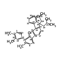 Cc1cnc(-c2c(C)ccc3c2oc2c4c(ccc23)C(CC(C)C)(CC(C)C)c2ccccc2-4)cc1C